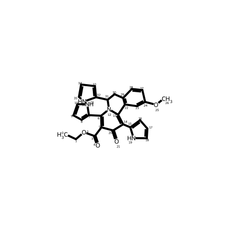 CCOC(=O)c1c(-c2ccc[nH]2)n2c(c(-c3ccc[nH]3)c1=O)-c1cc(OC)ccc1CC2c1ccc[nH]1